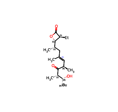 CC[C@@H](C)[C@@H](O)[C@H](C)C(=O)[C@H](C)/C=C(\C)C[C@H](C)[C@@H]1OC(=O)[C@H]1CC